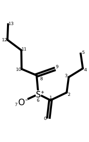 C=C(CCCC)[S+]([O-])C(=C)CCCC